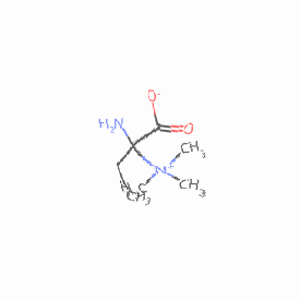 CCC(N)(C(=O)[O-])[N+](C)(C)C